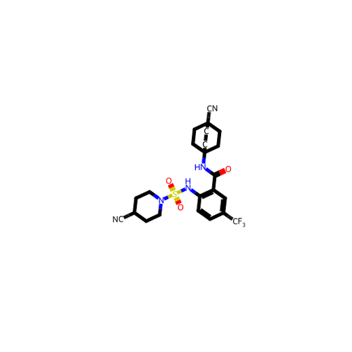 N#CC1CCN(S(=O)(=O)Nc2ccc(C(F)(F)F)cc2C(=O)NC23CCC(C#N)(CC2)CC3)CC1